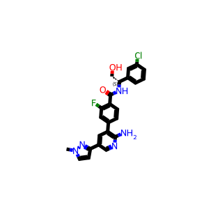 Cn1ccc(-c2cnc(N)c(-c3ccc(C(=O)N[C@H](CO)c4cccc(Cl)c4)c(F)c3)c2)n1